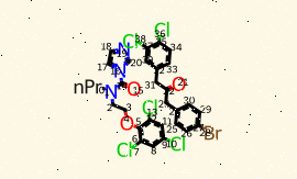 CCCN(CCOc1c(Cl)cc(Cl)cc1Cl)C(=O)n1ccnc1.O=C(Cc1ccc(Br)cc1)Cc1ccc(Cl)c(Cl)c1